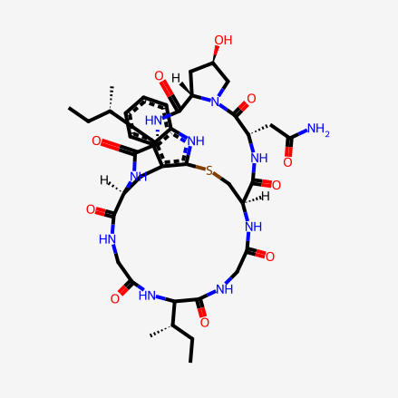 CC[C@H](C)C1NC(=O)CNC(=O)[C@@H]2Cc3c([nH]c4ccccc34)SC[C@H](NC(=O)CNC1=O)C(=O)N[C@@H](CC(N)=O)C(=O)N1C[C@H](O)C[C@H]1C(=O)N[C@@H]([C@@H](C)CC)C(=O)N2